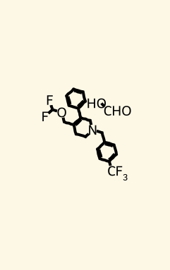 FC(F)OCC1=C(c2ccccc2)CN(Cc2ccc(C(F)(F)F)cc2)CC1.O=CO